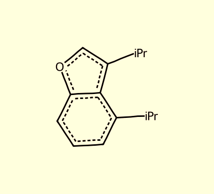 CC(C)c1cccc2occ(C(C)C)c12